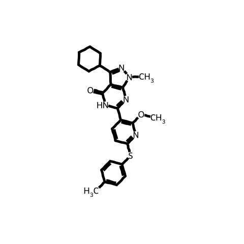 COc1nc(Sc2ccc(C)cc2)ccc1-c1nc2c(c(C3CCCCC3)nn2C)c(=O)[nH]1